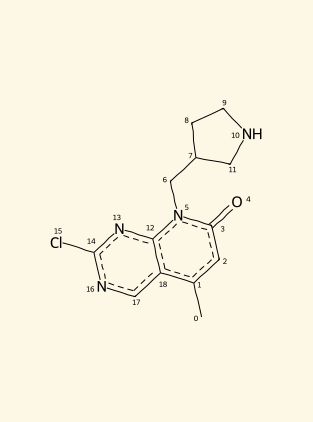 Cc1cc(=O)n(CC2CCNC2)c2nc(Cl)ncc12